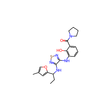 CCC(Nc1nsnc1Nc1cccc(C(=O)N2CCCC2)c1O)c1cc(C)co1